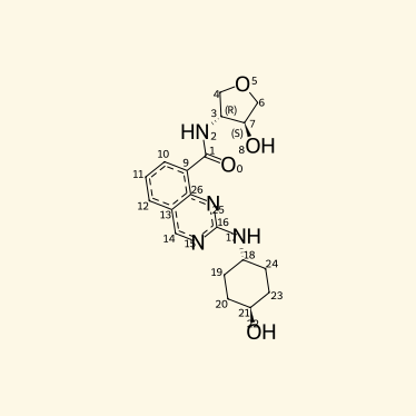 O=C(N[C@@H]1COC[C@H]1O)c1cccc2cnc(N[C@H]3CC[C@H](O)CC3)nc12